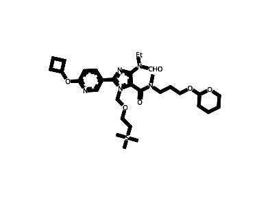 CCN(C=O)c1nc(-c2ccc(OC3CCC3)nc2)n(COCCS(C)(C)C)c1C(=O)N(C)CCCOC1CCCCO1